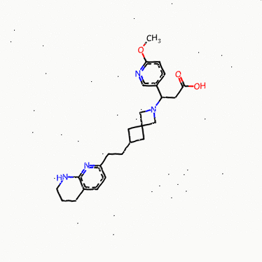 COc1ccc(C(CC(=O)O)N2CC3(CC(CCc4ccc5c(n4)NCCC5)C3)C2)cn1